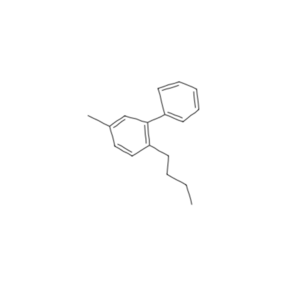 CCCCc1ccc(C)cc1-c1ccccc1